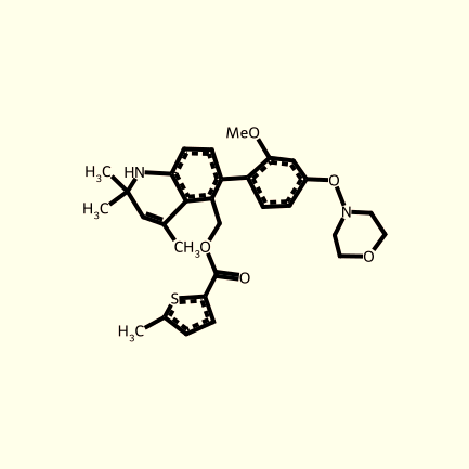 COc1cc(ON2CCOCC2)ccc1-c1ccc2c(c1COC(=O)c1ccc(C)s1)C(C)=CC(C)(C)N2